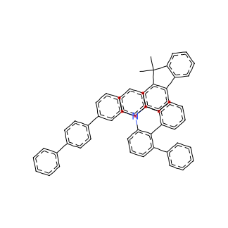 CC1(C)c2ccccc2-c2ccc(N(c3cccc(-c4ccc(-c5ccccc5)cc4)c3)c3cccc(-c4ccccc4)c3-c3ccccc3-c3ccccc3)cc21